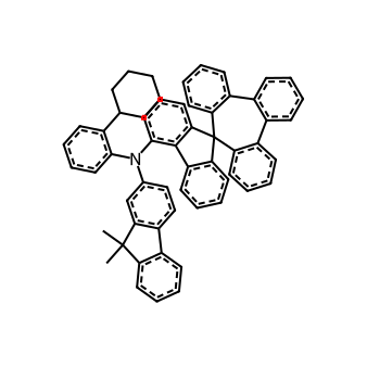 CC1(C)c2ccccc2-c2ccc(N(c3ccccc3C3CCCCC3)c3cccc4c3-c3ccccc3C43c4ccccc4-c4ccccc4-c4ccccc43)cc21